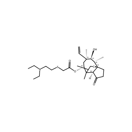 C=C[C@]1(C)C[C@@H](OC(=O)CSCCN(CC)CC)C2(C)C(C)CC[C@]3(CCC(=O)[C@@H]23)[C@@H](C)[C@@H]1O